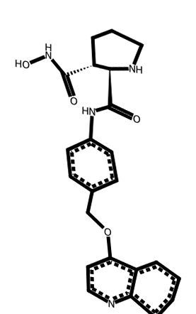 O=C(NO)[C@@H]1CCCN[C@H]1C(=O)Nc1ccc(COc2ccnc3ccccc23)cc1